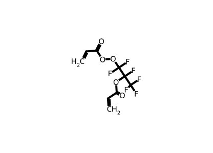 C=CC(=O)OOC(F)(F)C(F)(OC(=O)C=C)C(F)(F)F